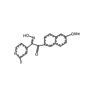 COc1ccc2cc(C(=O)C(=NO)c3ccnc(F)c3)ccc2c1